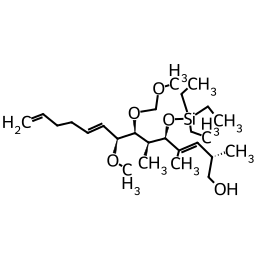 C=CCC/C=C/[C@H](OC)[C@@H](OCOC)[C@H](C)[C@@H](O[Si](CC)(CC)CC)/C(C)=C/[C@H](C)CO